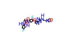 O=C(Nc1ccc(F)cc1)C1(C(=O)Nc2ccc(Oc3ccnc4nc(NCCCN5CCOCC5)cnc34)c(F)c2)CC1